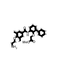 COC(=O)COc1c(NC(=O)c2cc(C)c(OCCN)c(C)c2)cccc1-c1ccccc1